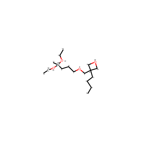 CCCCC1(COCCC[Si](C)(OCC)OCC)COC1